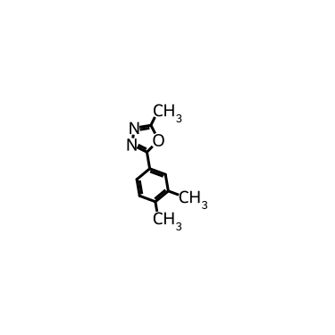 Cc1nnc(-c2ccc(C)c(C)c2)o1